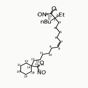 CCCCC(CC)(CCCC/C=C\CCCCCC1(C(=O)N=O)CCCCC1)C(=O)N=O